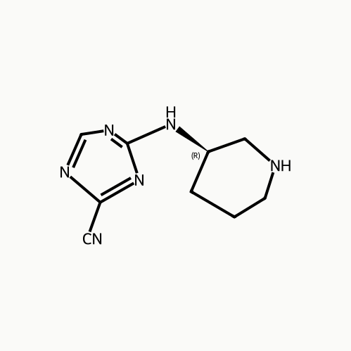 N#Cc1ncnc(N[C@@H]2CCCNC2)n1